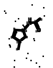 CC(=O)NN1C=CN(C)C1